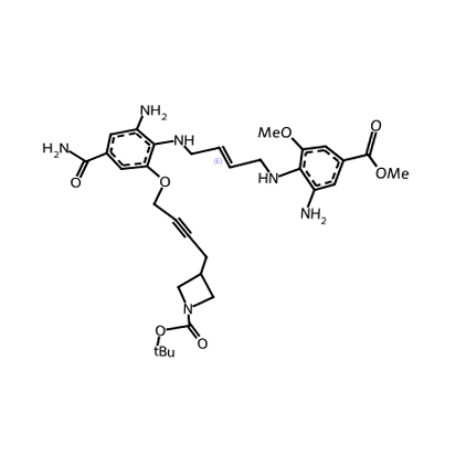 COC(=O)c1cc(N)c(NC/C=C/CNc2c(N)cc(C(N)=O)cc2OCC#CCC2CN(C(=O)OC(C)(C)C)C2)c(OC)c1